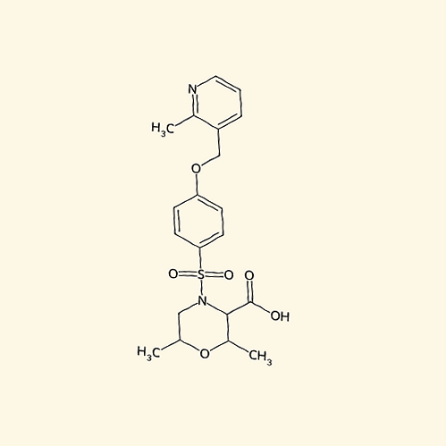 Cc1ncccc1COc1ccc(S(=O)(=O)N2CC(C)OC(C)C2C(=O)O)cc1